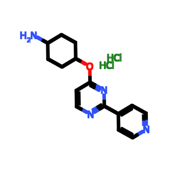 Cl.Cl.NC1CCC(Oc2ccnc(-c3ccncc3)n2)CC1